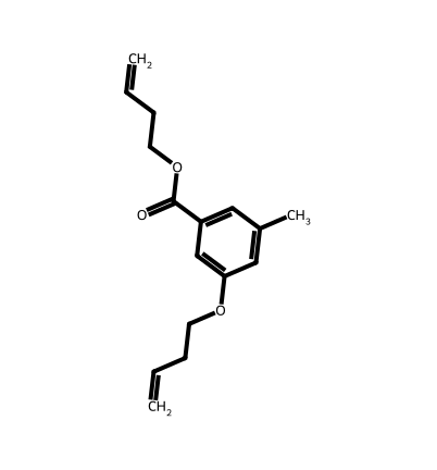 C=CCCOC(=O)c1cc(C)cc(OCCC=C)c1